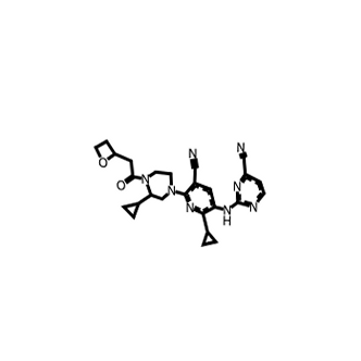 N#Cc1ccnc(Nc2cc(C#N)c(N3CCN(C(=O)CC4CCO4)C(C4CC4)C3)nc2C2CC2)n1